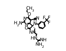 CCOc1nc(N)nc([C@@](CCCNC(=N)N)(Nc2cccc(C(F)(F)F)c2)C(N)=O)c1C#N